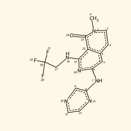 Cn1ccc2cc(Nc3cnccn3)nc(NCC(F)(F)F)c2c1=O